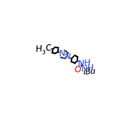 CCC(C)NC(=O)Nc1ccc(N2CCN(c3ccc(C)cc3)CC2)cc1